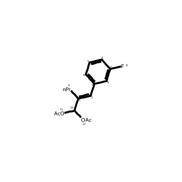 CCC/C(=C\c1cccc(F)c1)C(OC(C)=O)OC(C)=O